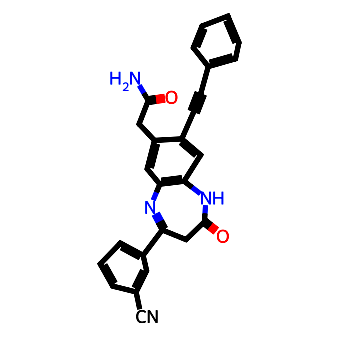 N#Cc1cccc(C2=Nc3cc(CC(N)=O)c(C#Cc4ccccc4)cc3NC(=O)C2)c1